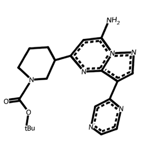 CC(C)(C)OC(=O)N1CCCC(c2cc(N)n3ncc(-c4cnccn4)c3n2)C1